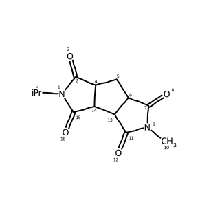 CC(C)N1C(=O)C2CC3C(=O)N(C)C(=O)C3C2C1=O